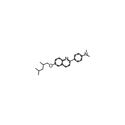 CC(C)CC(C)COc1ccc2nc(-c3ccc(N(C)C)cc3)ccc2c1